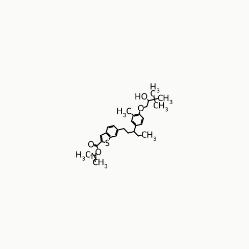 CCC(CCc1ccc2cc(C(=O)ON(C)C)sc2c1)c1ccc(OCC(O)C(C)(C)C)c(C)c1